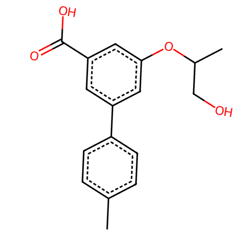 Cc1ccc(-c2cc(OC(C)CO)cc(C(=O)O)c2)cc1